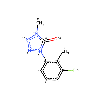 Cc1c(F)cccc1-n1nnn(C)c1=O